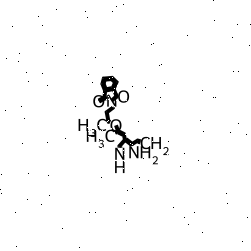 C=C/C(N)=C(C=N)\C=C(/C)OC(C)CCN1C(=O)c2ccccc2C1=O